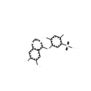 CNS(=O)(=O)c1cc(Nc2ncnc3cc(OC)c(OC)cc23)c(OC)cc1F